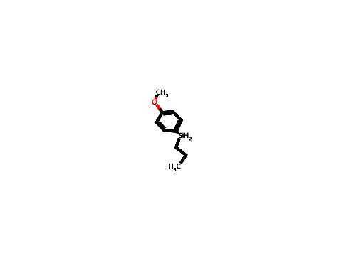 CCC[SiH2]c1ccc(OC)cc1